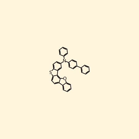 c1ccc(-c2ccc(N(c3ccccc3)c3ccc4sc5ccc6c7ccccc7oc6c5c4c3)cc2)cc1